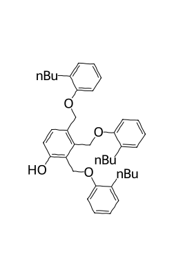 CCCCc1ccccc1OCc1ccc(O)c(COc2ccccc2CCCC)c1COc1ccccc1CCCC